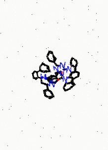 c1ccc(-c2cc(-c3ccccc3-c3ccccc3)nc(-c3cccc(-n4c5ccccc5c5ccc6c7ccccc7n(-c7nc(-c8ccccc8)nc(-c8ccccc8)n7)c6c54)c3)n2)cc1